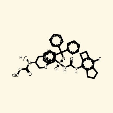 CN(C(=O)OC(C)(C)C)[C@@H]1COc2c(S(=O)(=NC(c3ccccc3)(c3ccccc3)c3ccccc3)NC(=O)Nc3c4c(c(F)c5c3CC5)CCC4)cnn2C1